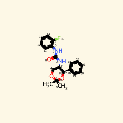 CC1(C)OC[C@H](NC(=O)Nc2ccccc2F)[C@@H](c2ccccc2)O1